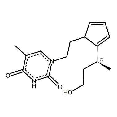 Cc1cn(CCC2C=CC=C2[C@@H](C)CCO)c(=O)[nH]c1=O